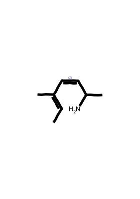 CC=C(C)/C=C\C(C)N